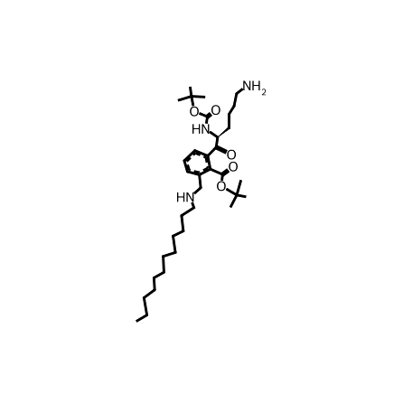 CCCCCCCCCCCCNCc1cccc(C(=O)[C@H](CCCCN)NC(=O)OC(C)(C)C)c1C(=O)OC(C)(C)C